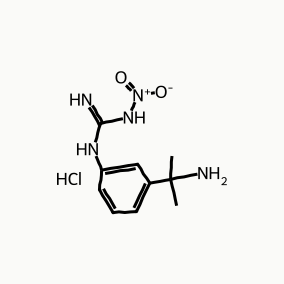 CC(C)(N)c1cccc(NC(=N)N[N+](=O)[O-])c1.Cl